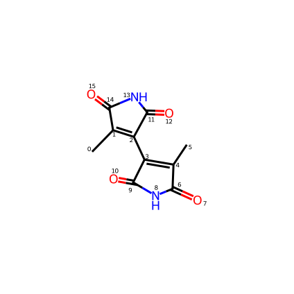 CC1=C(C2=C(C)C(=O)NC2=O)C(=O)NC1=O